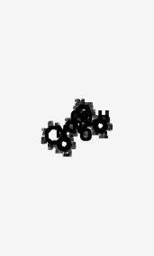 O=C(O)[C@@H]1C[C@H](N2CCCCCc3ccccc32)CN1C(=O)C(c1ccccc1)c1ccccc1